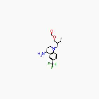 CCC(COC=O)CN1CCC(N)c2cc(C(F)(F)F)ccc21